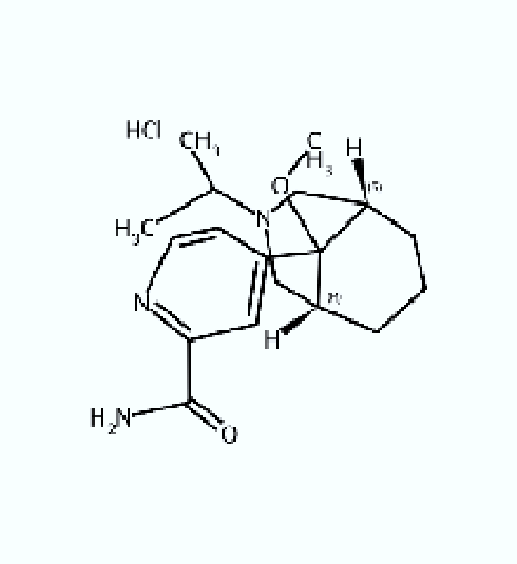 COC1(c2ccnc(C(N)=O)c2)[C@@H]2CCC[C@H]1CN(C(C)C)C2.Cl